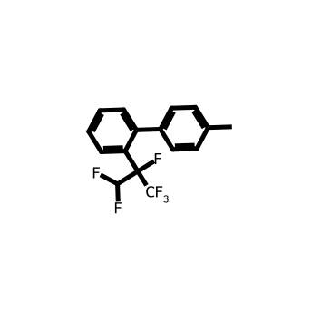 Cc1ccc(-c2ccccc2C(F)(C(F)F)C(F)(F)F)cc1